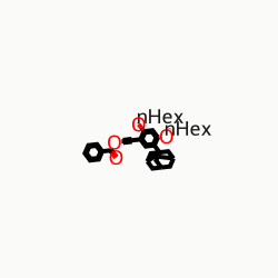 CCCCCCOc1cc(OCCCCCC)c(C23CC4CC(CC(C4)C2)C3)cc1C#COC(=O)c1ccccc1